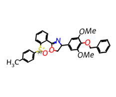 COc1cc(C2COC(c3ccccc3[S@@+]([O-])c3ccc(C)cc3)=N2)cc(OC)c1OCc1ccccc1